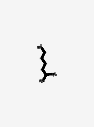 [CH2]CCCCCC[C](N)N